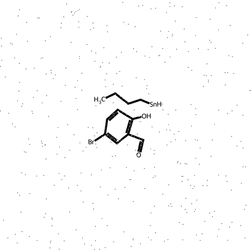 CCC[CH2][SnH].O=Cc1cc(Br)ccc1O